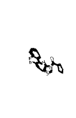 O=C(C1CCCC1)N1CSc2cc(Br)c(-c3ccccc3F)nc21